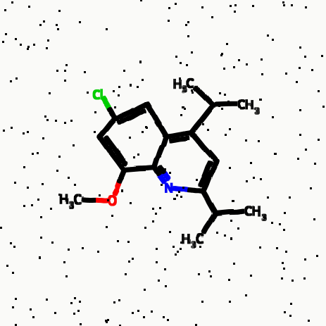 COc1cc(Cl)cc2c(C(C)C)cc(C(C)C)nc12